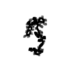 Cn1ccnc1C#CCNC(=O)C(=O)CCCCc1ccccc1C(=O)NC1(c2ccc3ccccc3c2)CC1